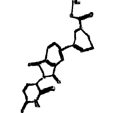 CC(C)(C)OC(=O)N1CCC=C(c2ccc3c(c2)C(=O)N(C2CCC(=O)NC2=O)C3=O)C1